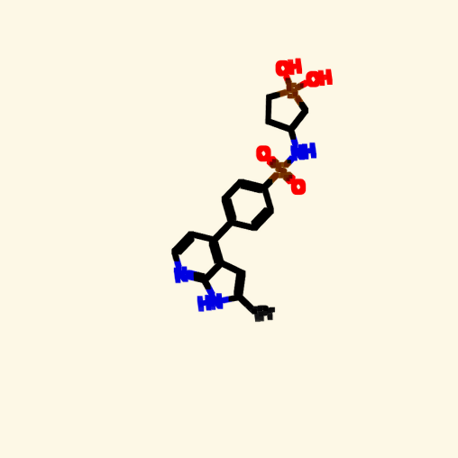 CC(C)c1cc2c(-c3ccc(S(=O)(=O)NC4CCS(O)(O)C4)cc3)ccnc2[nH]1